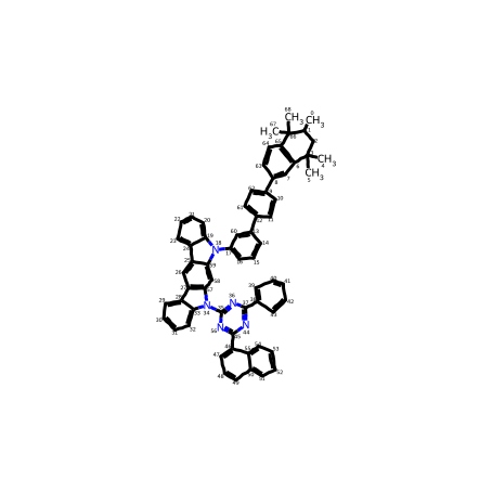 CC1CC(C)(C)c2cc(-c3ccc(-c4cccc(-n5c6ccccc6c6cc7c8ccccc8n(-c8nc(-c9ccccc9)nc(-c9cccc%10ccccc9%10)n8)c7cc65)c4)cc3)ccc2C1(C)C